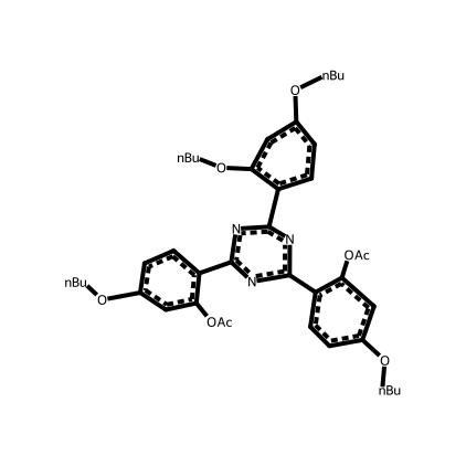 CCCCOc1ccc(-c2nc(-c3ccc(OCCCC)cc3OC(C)=O)nc(-c3ccc(OCCCC)cc3OC(C)=O)n2)c(OCCCC)c1